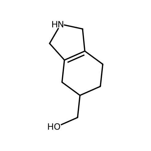 OCC1CCC2=C(CNC2)C1